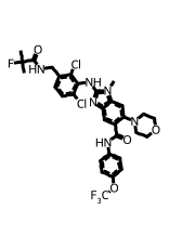 Cn1c(Nc2c(Cl)ccc(CNC(=O)C(C)(C)F)c2Cl)nc2cc(C(=O)Nc3ccc(OC(F)(F)F)cc3)c(N3CCOCC3)cc21